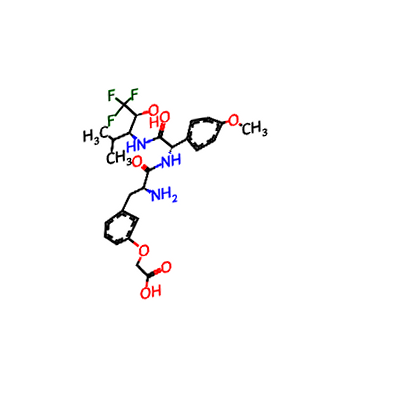 COc1ccc([C@H](NC(=O)[C@@H](N)Cc2cccc(OCC(=O)O)c2)C(=O)N[C@@H](C(C)C)[C@H](O)C(F)(F)F)cc1